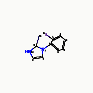 Ic1ccccc1N1C=CNC1I